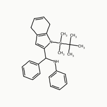 CC(C)(C)[Si](C)(C)n1c(C(Nc2ccccc2)c2ccccc2)cc2c1CC=CC2